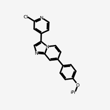 CC(C)Oc1ccc(-c2ccn3c(-c4ccnc(Cl)c4)cnc3c2)cc1